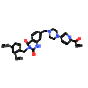 CNC(=O)c1ccc(N2CCN(Cc3ccc4c(=O)n(Cc5ccc(OC)cc5OC)c(=O)[nH]c4c3)CC2)cn1